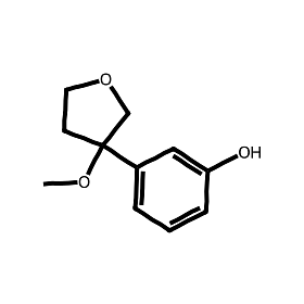 COC1(c2cccc(O)c2)CCOC1